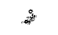 N=Cc1c(NCCN2CCCCCC2)ncnc1NC(=O)c1ccc(Cl)cc1Cl